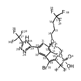 CCOP(=O)(O)C(F)(F)c1sc2c(OCCCC(F)(F)F)cc(-c3nnc(C(F)(F)F)[nH]3)cc2c1Br